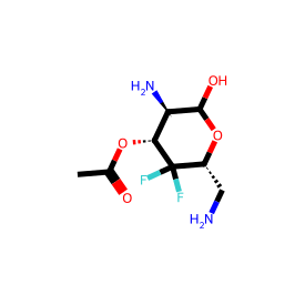 CC(=O)O[C@@H]1[C@@H](N)C(O)O[C@H](CN)C1(F)F